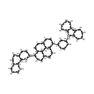 c1cc(-c2ccc3ccc4c(-c5ccc6ccc7cccnc7c6n5)ccc5ccc2c3c54)cc(-n2c3ccccc3c3ccccc32)c1